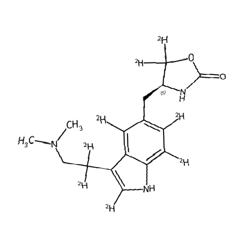 [2H]c1[nH]c2c([2H])c([2H])c(C[C@@H]3NC(=O)OC3([2H])[2H])c([2H])c2c1C([2H])([2H])CN(C)C